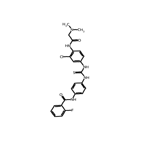 CN(C)CC(=O)Nc1ccc(NC(=S)Nc2ccc(NC(=O)c3ccccc3F)cc2)cc1Cl